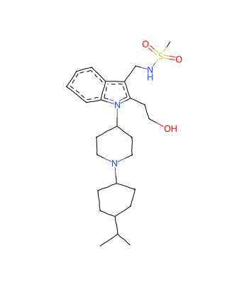 CC(C)C1CCC(N2CCC(n3c(CCO)c(CNS(C)(=O)=O)c4ccccc43)CC2)CC1